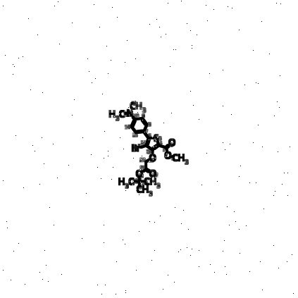 COC(=O)c1sc(-c2ccc(N(C)C)cc2)c(Br)c1OCC(=O)OC(C)(C)C